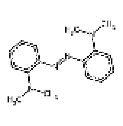 CN(C)c1ccccc1N=Nc1ccccc1N(C)C